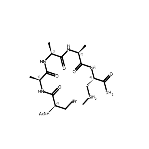 C[SiH2]C[C@H](NC(=O)[C@H](C)NC(=O)[C@H](C)NC(=O)[C@H](C)NC(=O)[C@H](CC(C)C)NC(C)=O)C(N)=O